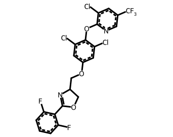 Fc1cccc(F)c1C1=NC(COc2cc(Cl)c(Oc3ncc(C(F)(F)F)cc3Cl)c(Cl)c2)CO1